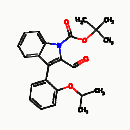 CC(C)Oc1ccccc1-c1c(C=O)n(C(=O)OC(C)(C)C)c2ccccc12